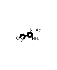 CC(=O)Nc1cc(N)cc(-c2ccc(=O)n(C)c2)c1